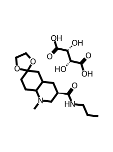 CCCNC(=O)[C@@H]1CC2CC3(CCC2N(C)C1)OCCO3.O=C(O)[C@H](O)[C@@H](O)C(=O)O